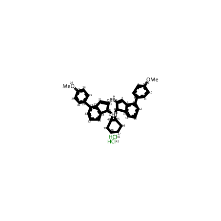 CCCC1=Cc2c(-c3ccc(OC)cc3)cccc2[CH]1[Hf]1([CH]2C(CCC)=Cc3c(-c4ccc(OC)cc4)cccc32)[CH]2CCCC[CH]21.Cl.Cl